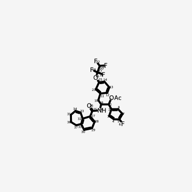 CC(=O)OC(c1ccc(F)cc1)C(Cc1cccc(OC(F)(F)C(F)F)c1)NC(=O)c1cccc2c1C=CCCC2